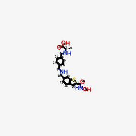 C[C@H](NCc1ccc(CNCc2ccc3cc(C(=O)NO)sc3c2)cc1)C(=O)O